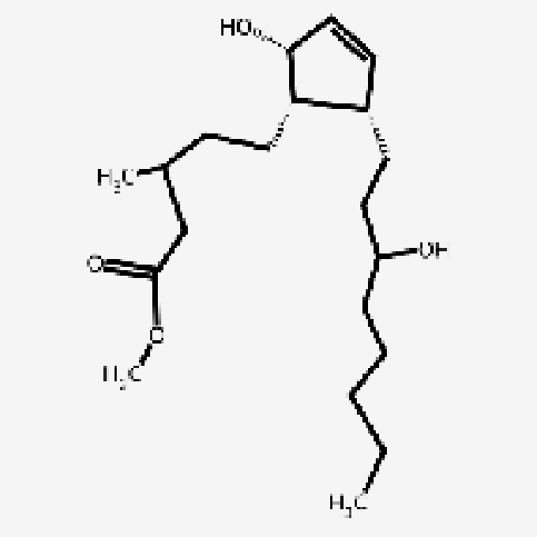 CCCCCC(O)CC[C@H]1C=C[C@@H](O)[C@H]1CCC(C)CC(=O)OC